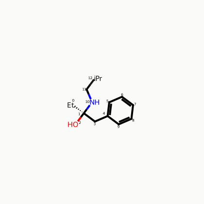 [CH2]C[C@@](O)(Cc1ccccc1)NCC(C)C